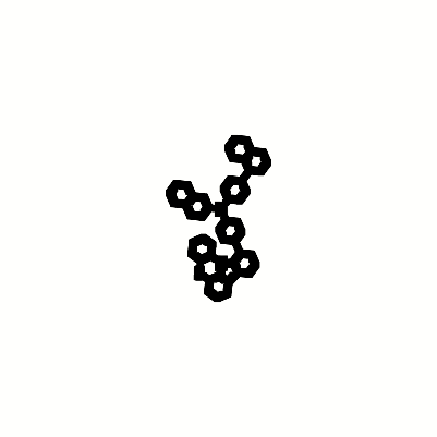 c1ccc2c(c1)Sc1cccc3c4cccc(-c5ccc(N(c6ccc(-c7cccc8ccccc78)cc6)c6ccc7ccccc7c6)cc5)c4n-2c13